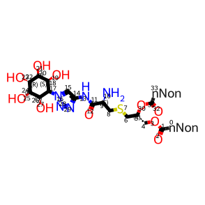 CCCCCCCCCC(=O)OC[C@H](CSC[C@@H](N)C(=O)Nc1cn(C2[C@H](O)[C@H](O)[C@@H](O)[C@H](O)[C@H]2O)nn1)OC(=O)CCCCCCCCC